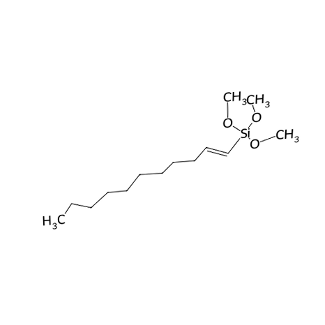 CCCCCCCCCC=C[Si](OC)(OC)OC